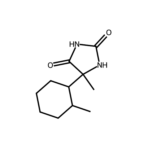 CC1CCCCC1C1(C)NC(=O)NC1=O